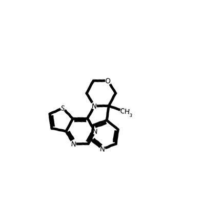 CC1(c2ccncc2)COCCN1c1ncnc2ccsc12